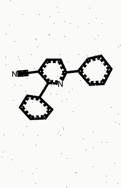 N#Cc1ccc(-c2ccccc2)nc1-c1ccccc1